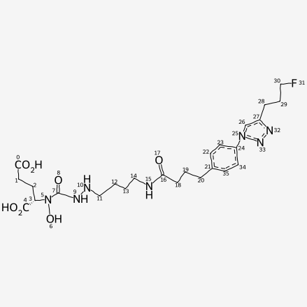 O=C(O)CC[C@@H](C(=O)O)N(O)C(=O)NNCCCCNC(=O)CCCc1ccc(-n2cc(CCCF)nn2)cc1